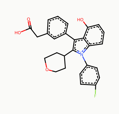 O=C(O)Cc1cccc(-c2c(C3CCOCC3)n(-c3ccc(F)cc3)c3cccc(O)c23)c1